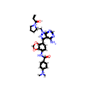 C=CC(=O)N1CCC[C@@H]1Cn1nc(-c2ccc(NC(=O)c3ccc(N(C)C)cc3)c3c2OCO3)c2c(N)ncnc21